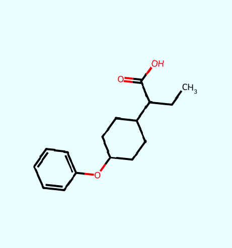 CCC(C(=O)O)C1CCC(Oc2ccccc2)CC1